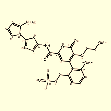 COCCOc1c(-c2c(COS(C)(=O)=O)cccc2OC)cc(C(=O)Nc2nnc(-n3nccc3NC(C)=O)s2)oc1=O